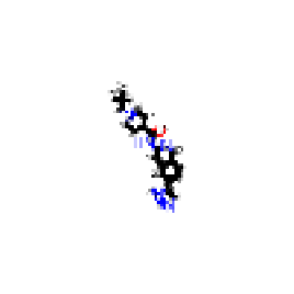 Cn1nncc1-c1ccc2cnc(NC(=O)C3CCN(CC(C)(C)C)CC3)cc2c1